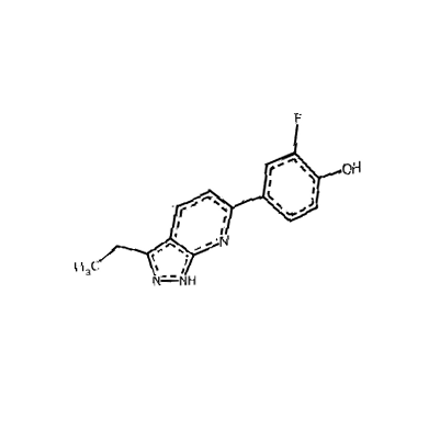 CCc1n[nH]c2nc(-c3ccc(O)c(F)c3)c[c]c12